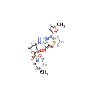 Cc1ccc([C@H](Nc2c(Nc3cccc(S(=O)(=O)N4CCN(C)CC4)c3O)c(=O)c2=O)[C@@H]2CCCS2)o1